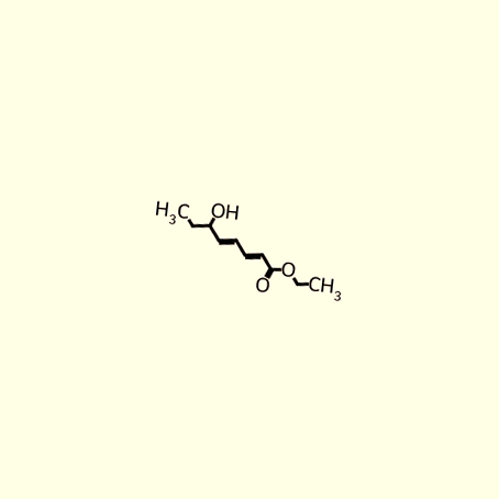 CCOC(=O)C=CC=CC(O)CC